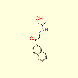 CC(CO)NCCC(=O)c1ccc2ccccc2c1